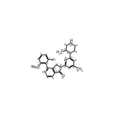 COc1cccc(F)c1-c1nccc2c1CN(c1cc(C)cc(N3CCNCC3C)n1)C2=O